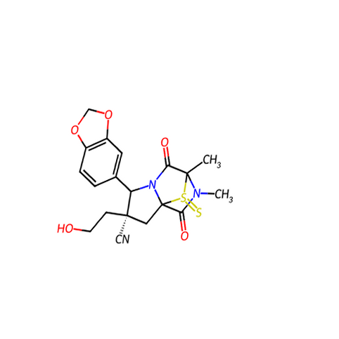 CN1C(=O)C23C[C@@](C#N)(CCO)C(c4ccc5c(c4)OCO5)N2C(=O)C1(C)S3=S